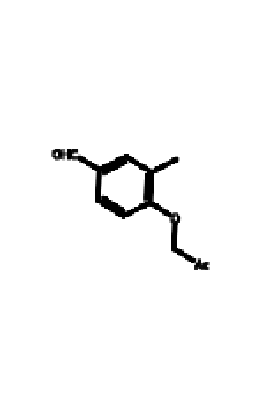 CC(=O)COc1ccc(C=O)cc1C